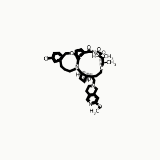 COc1cc2c(cn1)CCN(C[C@@]1(O)CCC[C@H](C)[C@@H](C)S(=O)(=O)NC(=O)c3ccc4c(c3)N(CCCCc3cc(Cl)ccc3CO4)C[C@@H]3CC[C@H]31)C2